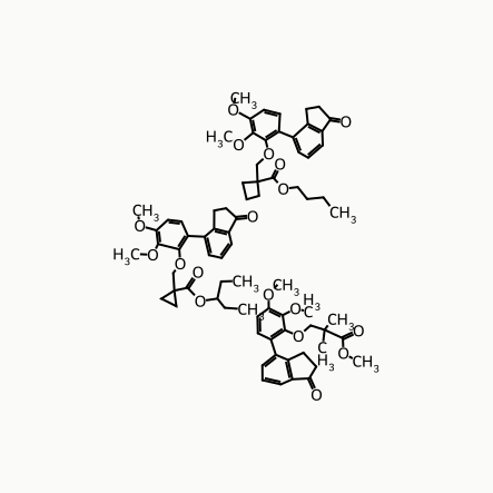 CCC(CC)OC(=O)C1(COc2c(-c3cccc4c3CCC4=O)ccc(OC)c2OC)CC1.CCCCOC(=O)C1(COc2c(-c3cccc4c3CCC4=O)ccc(OC)c2OC)CCC1.COC(=O)C(C)(C)COc1c(-c2cccc3c2CCC3=O)ccc(OC)c1OC